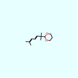 CC(C)=CC=CC(C)(C)C1OCCCO1